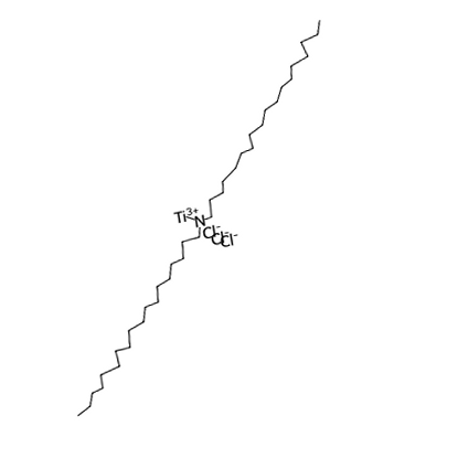 CCCCCCCCCCCCCCCCCC[N]([Ti+3])CCCCCCCCCCCCCCCCCC.[Cl-].[Cl-].[Cl-]